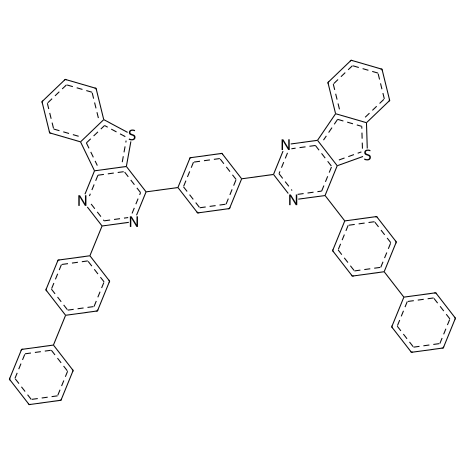 c1ccc(-c2ccc(-c3nc(-c4ccc(-c5nc(-c6ccc(-c7ccccc7)cc6)c6sc7ccccc7c6n5)cc4)c4sc5ccccc5c4n3)cc2)cc1